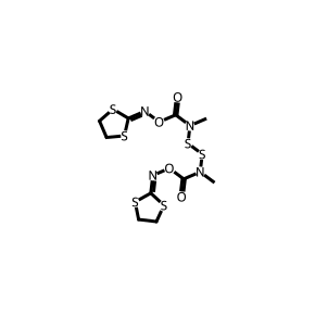 CN(SSN(C)C(=O)ON=C1SCCS1)C(=O)ON=C1SCCS1